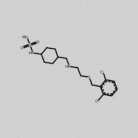 CC(C)(C)S(=O)(=O)NC1CCC(CNCCSCc2c(Cl)cccc2Cl)CC1